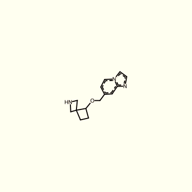 c1cn2ccc(COC3CCC34CNC4)cc2n1